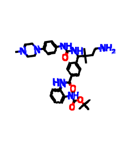 CN1CCN(c2ccc(NC(=O)NC(c3ccc(C(=O)Nc4ccccc4NC(=O)OC(C)(C)C)cc3)C(C)(C)CCN)cc2)CC1